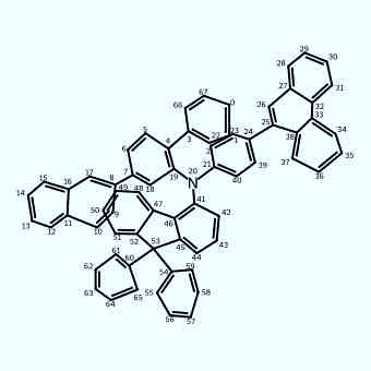 c1ccc(-c2ccc(-c3ccc4ccccc4c3)cc2N(c2ccc(-c3cc4ccccc4c4ccccc34)cc2)c2cccc3c2-c2ccccc2C3(c2ccccc2)c2ccccc2)cc1